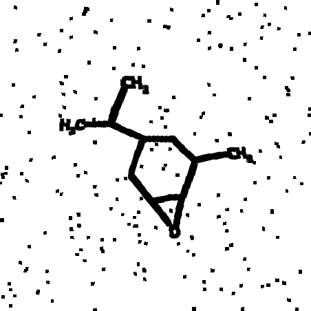 CC(C)C1CC(C)C2OC2C1